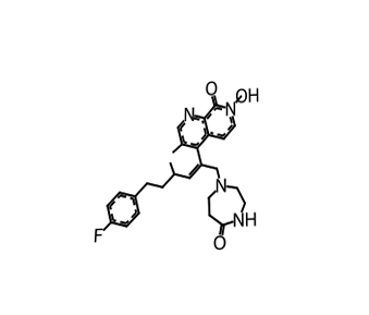 Cc1cnc2c(=O)n(O)ccc2c1/C(=C\C(C)CCc1ccc(F)cc1)CN1CCNC(=O)CC1